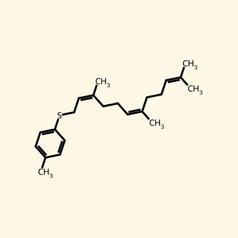 CC(C)=CCCC(C)=CCCC(C)=CCSc1ccc(C)cc1